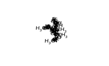 CCc1c(N2CCN(C(=O)c3cnn(C)c3)[C@H](C)C2)c(=O)n2nc(-c3ccnc(OC)c3)nc2n1CC(=O)Nc1ccc(C(F)(F)F)cc1Cl